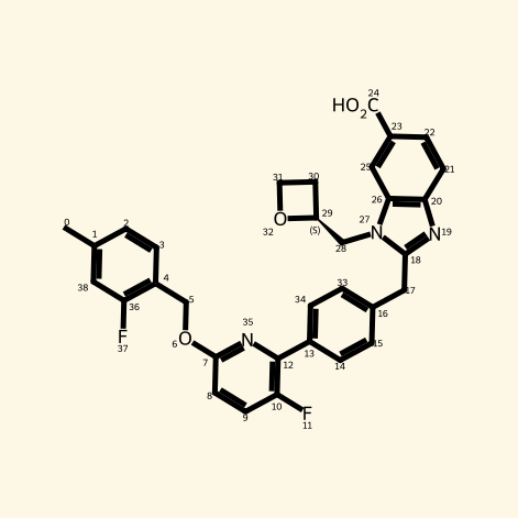 Cc1ccc(COc2ccc(F)c(-c3ccc(Cc4nc5ccc(C(=O)O)cc5n4C[C@@H]4CCO4)cc3)n2)c(F)c1